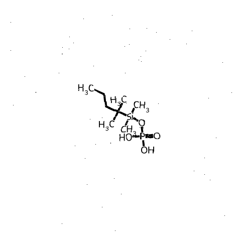 CCCC(C)(C)[Si](C)(C)OP(=O)(O)O